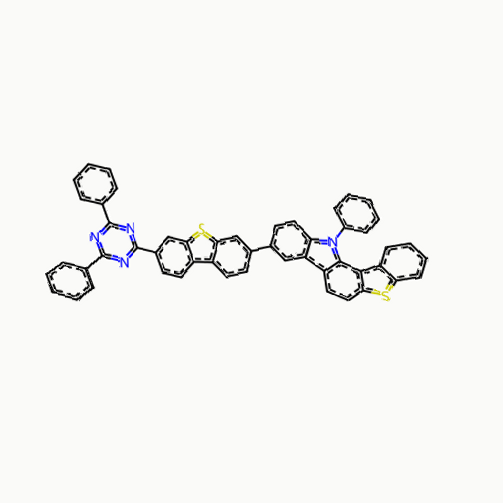 c1ccc(-c2nc(-c3ccccc3)nc(-c3ccc4c(c3)sc3cc(-c5ccc6c(c5)c5ccc7sc8ccccc8c7c5n6-c5ccccc5)ccc34)n2)cc1